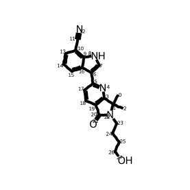 CC1(C)c2nc(-c3c[nH]c4c(C#N)cccc34)ccc2C(=O)N1CCCCO